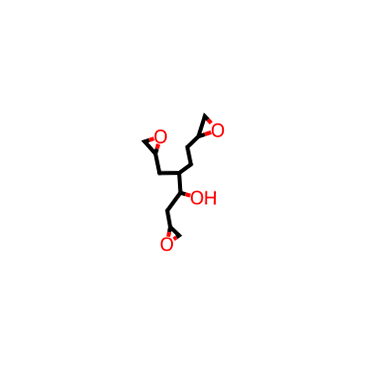 OC(CC1CO1)C(CCC1CO1)CC1CO1